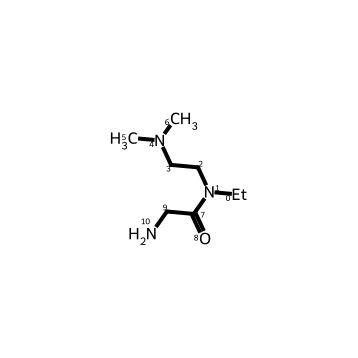 CCN(CCN(C)C)C(=O)CN